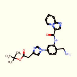 CC(C)(C)OC(=O)Cc1cn(-c2ccc(CN)c(NC(=O)c3cnc4ccccn34)c2)cn1